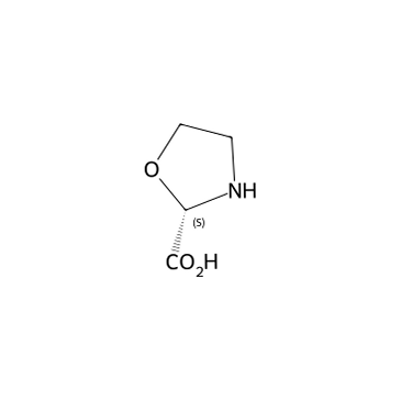 O=C(O)[C@H]1NCCO1